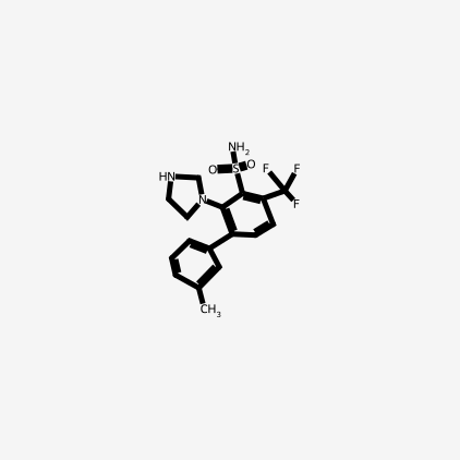 Cc1cccc(-c2ccc(C(F)(F)F)c(S(N)(=O)=O)c2N2CCNC2)c1